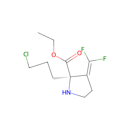 CCOC(=O)[C@]1(CCCCl)NCCC1=C(F)F